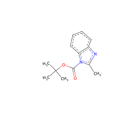 [CH2]c1nc2ccccc2n1C(=O)OC(C)(C)C